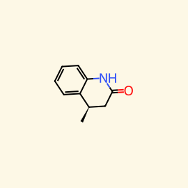 C[C@@H]1CC(=O)Nc2ccccc21